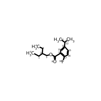 CCC(CC)COC(=O)c1cc(C(C)C)ccc1F